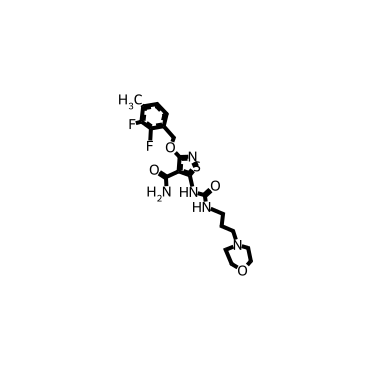 Cc1ccc(COc2nsc(NC(=O)NCCCN3CCOCC3)c2C(N)=O)c(F)c1F